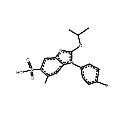 CC(C)Oc1nc2cc(S(=O)(=O)O)c(F)cc2n1-c1ccc(F)cc1